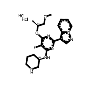 COC[C@H](C)Oc1nc(-c2cnn3ccccc23)nc(N[C@@H]2CCCNC2)c1F.Cl.Cl